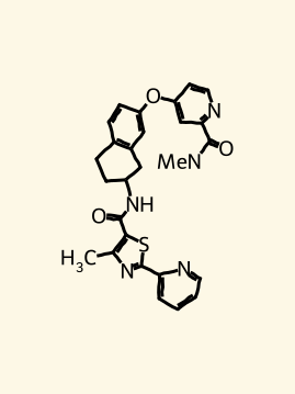 CNC(=O)c1cc(Oc2ccc3c(c2)CC(NC(=O)c2sc(-c4ccccn4)nc2C)CC3)ccn1